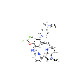 CN(C)C1CCN(c2cc(OC(F)F)c(Nc3nccc(-c4cn(C)c5cccnc45)n3)cc2[N+](=O)[O-])CC1